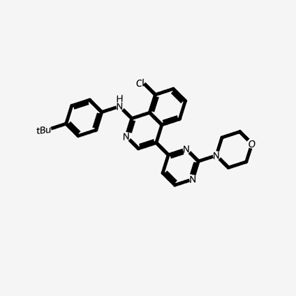 CC(C)(C)c1ccc(Nc2ncc(-c3ccnc(N4CCOCC4)n3)c3cccc(Cl)c23)cc1